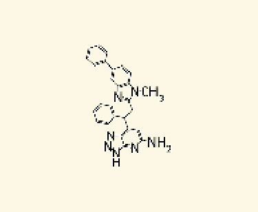 Cn1c(CC(c2ccccc2)c2cc(N)nc3[nH]nnc23)nc2cc(-c3ccccc3)ccc21